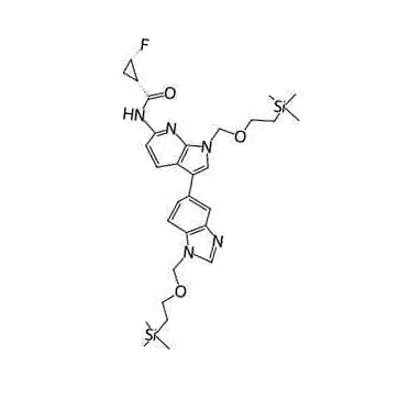 C[Si](C)(C)CCOCn1cnc2cc(-c3cn(COCC[Si](C)(C)C)c4nc(NC(=O)[C@@H]5C[C@@H]5F)ccc34)ccc21